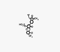 Cn1c(=O)n(CC2CC2)c2cc(-n3cc(OC(=O)O)c(=O)n(Cc4cccc(C(F)(F)F)c4Cl)c3=O)ccc21